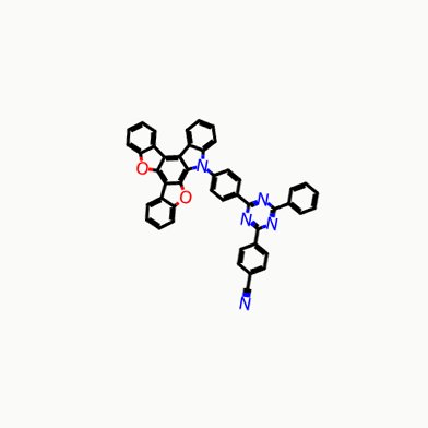 N#Cc1ccc(-c2nc(-c3ccccc3)nc(-c3ccc(-n4c5ccccc5c5c6c7ccccc7oc6c6c7ccccc7oc6c54)cc3)n2)cc1